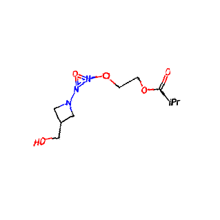 CC(C)C(=O)OCCOn1on1N1CC(CO)C1